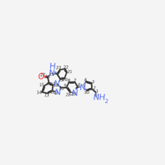 NCc1ccn(-c2ccc(-c3nc4cccc5c4n3-c3ccccc3NC5=O)cn2)c1